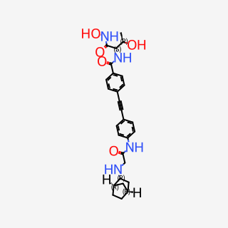 C[C@@H](O)[C@H](NC(=O)c1ccc(C#Cc2ccc(NC(=O)CN[C@@H]3C[C@@H]4CC[C@@H]3C4)cc2)cc1)C(=O)NO